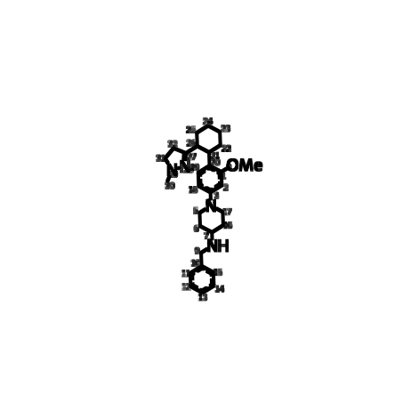 COc1cc(N2CCC(NCc3ccccc3)CC2)ccc1C1CCCCC1C1=NN(C)CC1